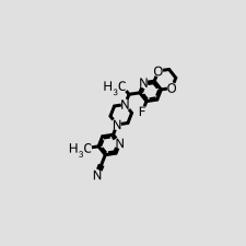 Cc1cc(N2CCN(C(C)c3nc4c(cc3F)OCCO4)CC2)ncc1C#N